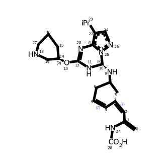 C=C(/C=C\C=C/CC(C)N[C@@H]1NC(O[C@@H]2CCCNC2)=Nc2c(C(C)C)cnn21)NC(=O)O